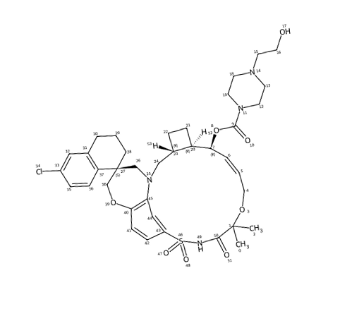 CC1(C)OCC=C[C@H](OC(=O)N2CCN(CCO)CC2)[C@@H]2CC[C@H]2CN2C[C@@]3(CCCc4cc(Cl)ccc43)COc3ccc(cc32)S(=O)(=O)NC1=O